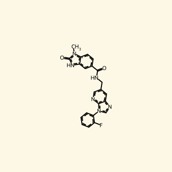 Cn1c(=O)[nH]c2cc(C(=O)NCc3cnc4c(c3)ncn4-c3ccccc3F)ccc21